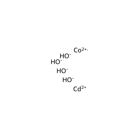 [Cd+2].[Co+2].[OH-].[OH-].[OH-].[OH-]